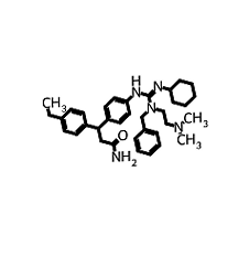 CCc1ccc(C(CC(N)=O)c2ccc(N/C(=N/C3CCCCC3)N(CCN(C)C)Cc3ccccc3)cc2)cc1